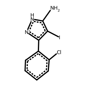 Nc1[nH]nc(-c2ccccc2Cl)c1I